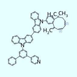 C=C1/C=C\C=C/CC(C)(C)c2ccc(-n3c4ccccc4c4cc(-c5ccc6c(c5)c5ccccc5n6-c5cc(-c6ccccc6)cc(-c6ccncc6)c5)ccc43)cc21